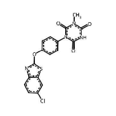 Cn1c(=O)[nH]c(=O)n(-c2ccc(Oc3nc4ccc(Cl)cc4s3)cc2)c1=O